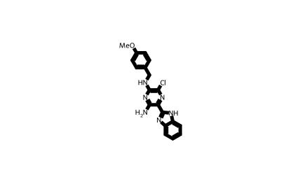 COc1ccc(CNc2nc(N)c(-c3nc4ccccc4[nH]3)nc2Cl)cc1